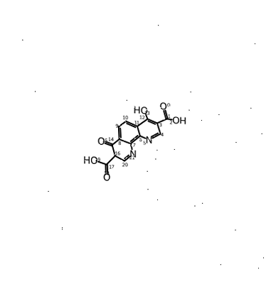 O=C(O)c1cnc2c3c(ccc2c1O)C(=O)C(C(=O)O)C=N3